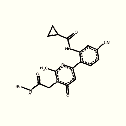 Cc1nc(-c2ccc(C#N)cc2NC(=O)C2CC2)cc(=O)n1CC(=O)NC(C)(C)C